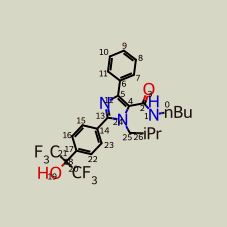 CCCCNC(=O)c1c(-c2ccccc2)nc(-c2ccc(C(O)(C(F)(F)F)C(F)(F)F)cc2)n1CC(C)C